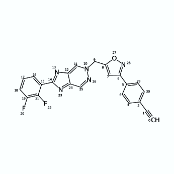 C#Cc1ccc(-c2cc(Cn3cc4nc(-c5cccc(F)c5F)nc-4cn3)on2)cc1